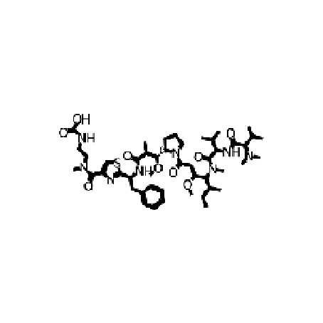 CCC(C)C(C(CC(=O)N1CCC[C@H]1C(OC)C(C)C(=O)NC(Cc1ccccc1)c1nc(C(=O)N(C)CCNC(=O)O)cs1)OC)N(C)C(=O)C(NC(=O)C(C(C)C)N(C)C)C(C)C